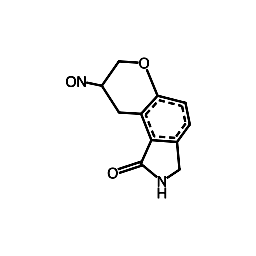 O=NC1COc2ccc3c(c2C1)C(=O)NC3